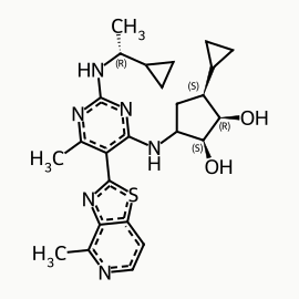 Cc1nc(N[C@H](C)C2CC2)nc(NC2C[C@@H](C3CC3)[C@@H](O)[C@H]2O)c1-c1nc2c(C)nccc2s1